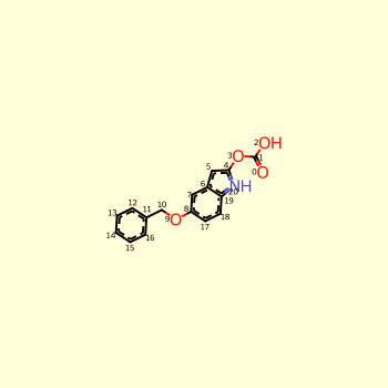 O=C(O)Oc1cc2cc(OCc3ccccc3)ccc2[nH]1